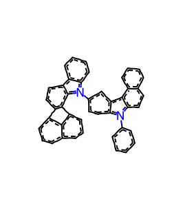 c1ccc(-n2c3ccc(-n4c5ccccc5c5ccc6c(c54)-c4cccc5cccc-6c45)cc3c3c4ccccc4ccc32)cc1